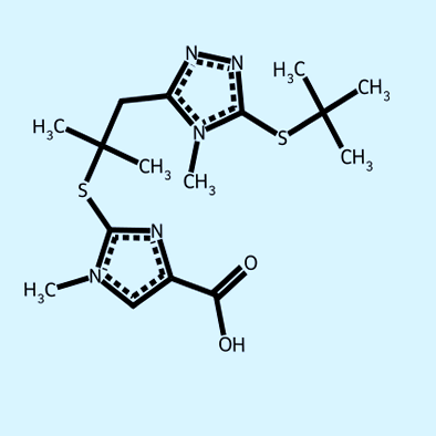 Cn1cc(C(=O)O)nc1SC(C)(C)Cc1nnc(SC(C)(C)C)n1C